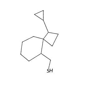 SCC1CCCCC12CCC2C1CC1